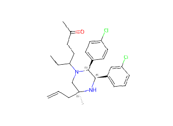 C=CC[C@@]1(C)CN(C(CC)CCC(C)=O)[C@@H](c2ccc(Cl)cc2)[C@@H](c2cccc(Cl)c2)N1